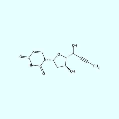 CC#CC(O)[C@H]1O[C@@H](n2ccc(=O)[nH]c2=O)C[C@@H]1O